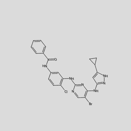 O=C(Nc1ccc(Cl)c(Nc2ncc(Br)c(Nc3cc(C4CC4)[nH]n3)n2)c1)c1ccccc1